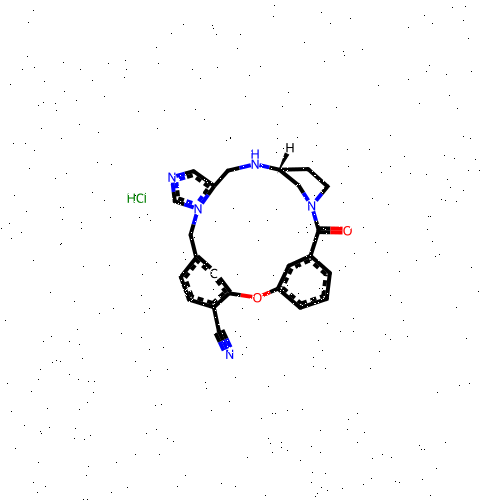 Cl.N#Cc1ccc2cc1Oc1cccc(c1)C(=O)N1CC[C@H](C1)NCc1cncn1C2